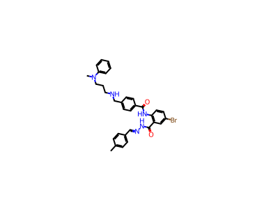 Cc1ccc(C=NNC(=O)c2cc(Br)ccc2NC(=O)c2ccc(CNCCCN(C)c3ccccc3)cc2)cc1